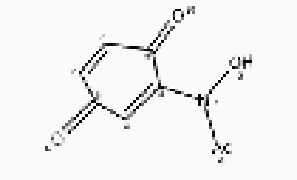 CC(=O)N(O)C1=CC(=O)C=CC1=O